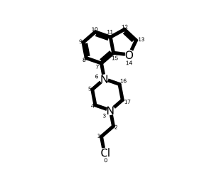 ClCCN1CCN(c2cccc3ccoc23)CC1